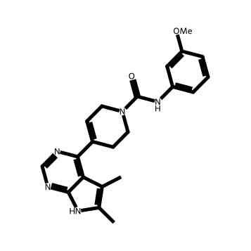 COc1cccc(NC(=O)N2CC=C(c3ncnc4[nH]c(C)c(C)c34)CC2)c1